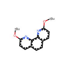 CC(C)(C)Oc1ccc2ccc3ccc(OC(C)(C)C)nc3c2n1